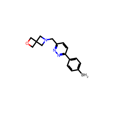 Bc1ccc(-c2ccc(CN3CC4(COC4)C3)nn2)cc1